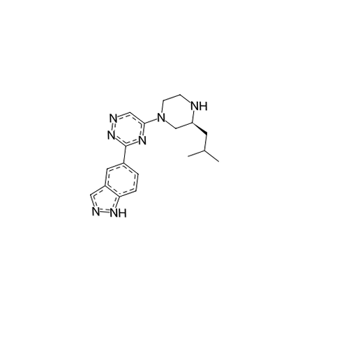 CC(C)C[C@H]1CN(c2cnnc(-c3ccc4[nH]ncc4c3)n2)CCN1